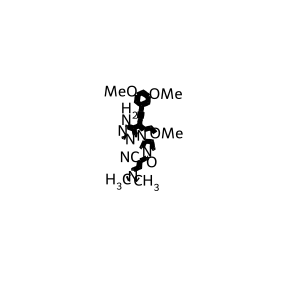 COCc1c(C#Cc2cc(OC)cc(OC)c2)c2c(N)ncnc2n1C1CCN(C(=O)/C(C#N)=C/CN(C)C)C1